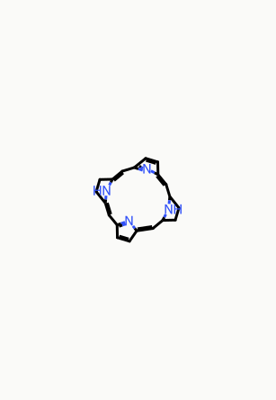 C1=C/C2=C/C3CCC(/C=C4/C=CC(=N4)/C=C4/CC/C(=C/C1=N2)N4)N3